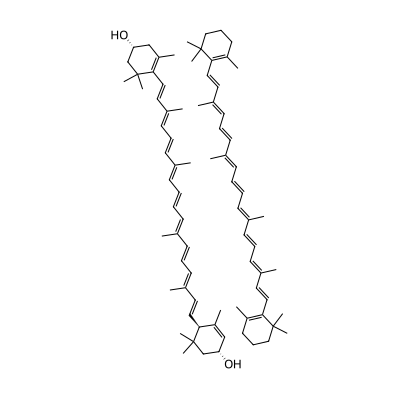 CC1=C(/C=C/C(C)=C/C=C/C(C)=C/C=C/C=C(C)/C=C/C=C(C)/C=C/C2=C(C)CCCC2(C)C)C(C)(C)CCC1.CC1=C[C@H](O)CC(C)(C)[C@H]1/C=C/C(C)=C/C=C/C(C)=C/C=C/C=C(C)/C=C/C=C(C)/C=C/C1=C(C)C[C@@H](O)CC1(C)C